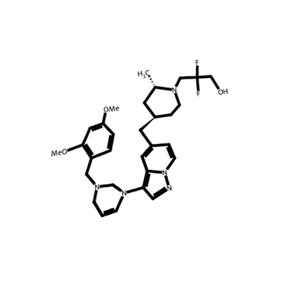 COc1ccc(CN2CC=CN(c3cnn4ccc(C[C@@H]5CCN(CC(F)(F)CO)[C@@H](C)C5)cc34)C2)c(OC)c1